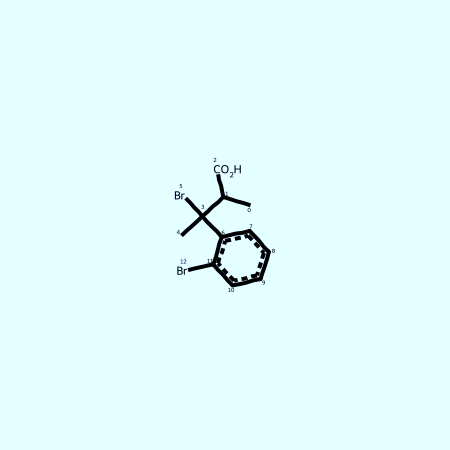 CC(C(=O)O)C(C)(Br)c1ccccc1Br